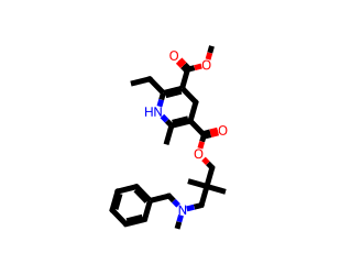 CCC1=C(C(=O)OC)CC(C(=O)OCC(C)(C)CN(C)Cc2ccccc2)=C(C)N1